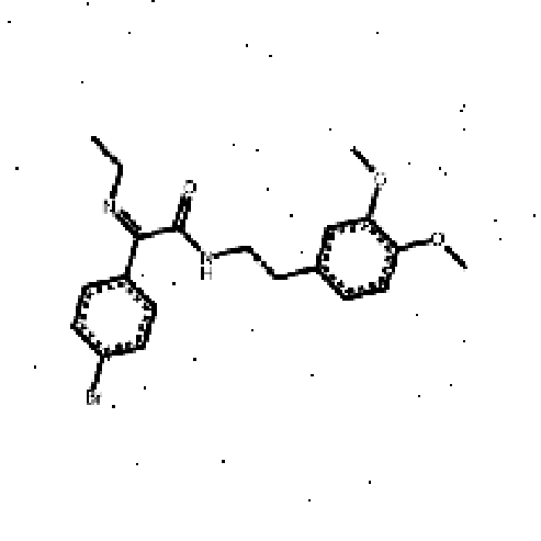 CC/N=C(\C(=O)NCCc1ccc(OC)c(OC)c1)c1ccc(Br)cc1